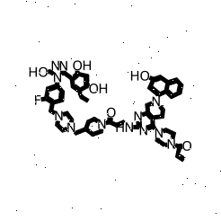 C=CC(=O)N1CCN(c2nc(NCCC(=O)N3CCC(CN4CCN(Cc5ccc(-n6c(O)nnc6-c6cc(CC)c(O)cc6O)cc5F)CC4)CC3)nc3c2CCN(c2cc(O)cc4ccccc24)C3)CC1